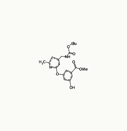 COC(=O)c1cc(O)cc(Oc2cc(CNC(=O)OC(C)(C)C)cc(C)n2)c1